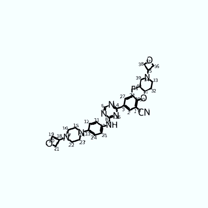 N#Cc1cc(-c2ncnc(Nc3ccc(N4CCN(C5COC5)CC4)cc3)n2)ccc1O[C@H]1CCN(C2COC2)C[C@@H]1F